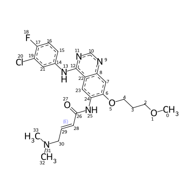 COCCCOc1cc2ncnc(Nc3ccc(F)c(Cl)c3)c2cc1NC(=O)/C=C/CN(C)C